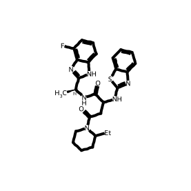 CCC1CCCCN1C(=O)CC(Nc1nc2ccccc2s1)C(=O)N[C@@H](C)c1nc2c(F)cccc2[nH]1